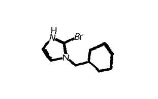 BrC1NC=CN1CC1CCCCC1